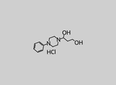 Cl.OCCC(O)N1CCN(c2ccccc2)CC1